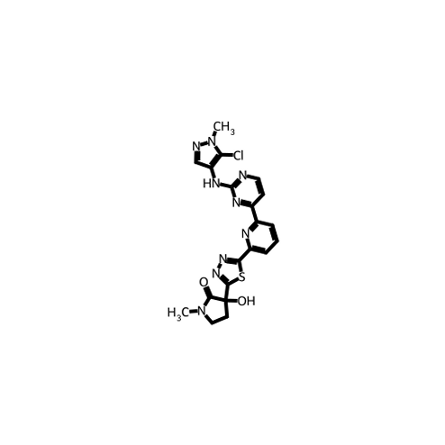 CN1CCC(O)(c2nnc(-c3cccc(-c4ccnc(Nc5cnn(C)c5Cl)n4)n3)s2)C1=O